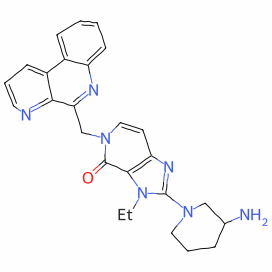 CCn1c(N2CCCC(N)C2)nc2ccn(Cc3nc4ccccc4c4cccnc34)c(=O)c21